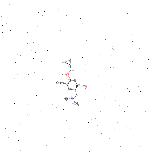 CN(C)Cc1cc(C=O)c(OCC2CC2)cc1O